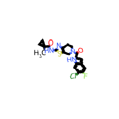 CC1(C(=O)Nc2nc3c(s2)CN(C(=O)c2cc4cc(F)c(Cl)cc4[nH]2)CC3)CC1